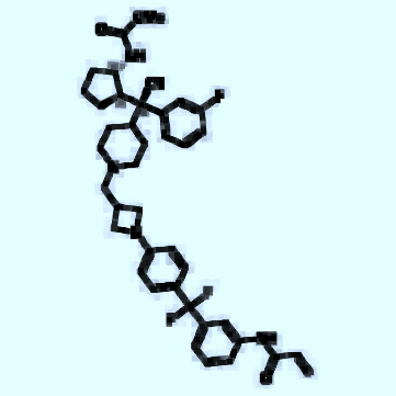 C=CC(=O)Nc1cccc(C(F)(F)c2ccc(N3CC(CN4CCC([C@@](C#N)(c5cccc(F)c5)[C@H]5CCC[C@@H]5NC(=O)OC)CC4)C3)cc2)c1